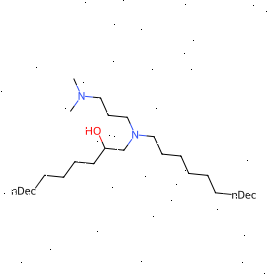 CCCCCCCCCCCCCCCCN(CCCN(C)C)CC(O)CCCCCCCCCCCCCC